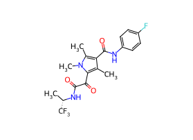 Cc1c(C(=O)Nc2ccc(F)cc2)c(C)n(C)c1C(=O)C(=O)N[C@@H](C)C(F)(F)F